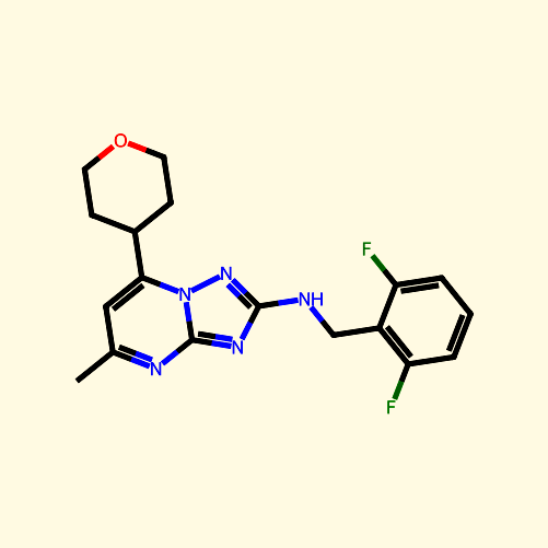 Cc1cc(C2CCOCC2)n2nc(NCc3c(F)cccc3F)nc2n1